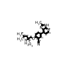 Cc1nc2c(-c3ccc(OCC(C)(N)CC(C)C)c(C#N)c3)ccnc2[nH]1